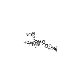 Cc1c(COc2cc(OCc3cncc(C#N)c3)c(CN[C@](C)(CO)C(=O)O)cc2Cl)cccc1-c1cccc(OCCCN2C3CC[C@H]2CC(O)C3)c1